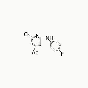 CC(=O)c1cc(Cl)nc(Nc2ccc(F)cc2)c1